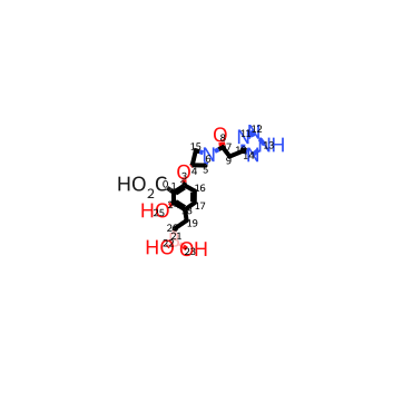 O=C(O)c1c(OC2CN(C(=O)Cc3nn[nH]n3)C2)ccc(CCB(O)O)c1O